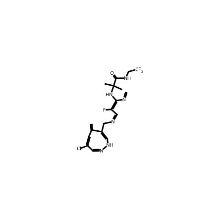 C=N/C(NC(C)(C)C(=O)NCC(F)(F)F)=C(F)\C=N/C/C1=C/N/N=C\C(Cl)=C/C1=C